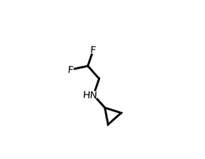 FC(F)CNC1CC1